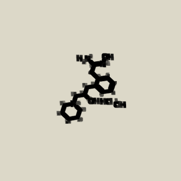 Cl.Cl.NC(Cc1ccccc1CC(O)CN1CCCCC1)=NO